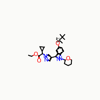 CCOC(=O)C(C1CC1)n1cc(-c2nn(C3CCCCO3)c3ccc(O[Si](C)(C)C(C)(C)C)cc23)cn1